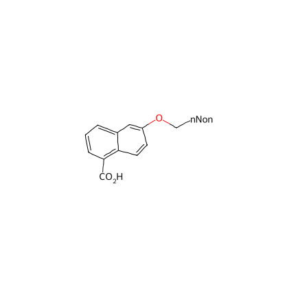 CCCCCCCCCCOc1ccc2c(C(=O)O)cccc2c1